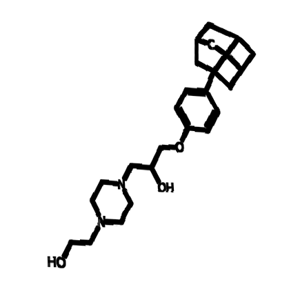 OCCN1CCN(CC(O)COc2ccc(C34CC5CC6CC(C3)C64C5)cc2)CC1